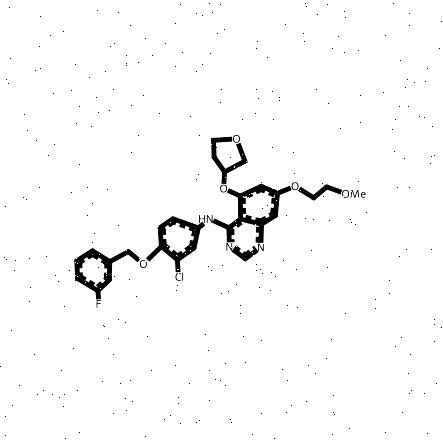 COCCOc1cc(OC2CCOC2)c2c(Nc3ccc(OCc4cccc(F)c4)c(Cl)c3)ncnc2c1